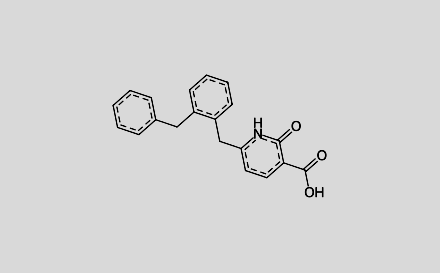 O=C(O)c1ccc(Cc2ccccc2Cc2ccccc2)[nH]c1=O